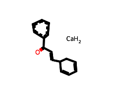 O=C(C=CC1C=CC=CC1)c1ccccc1.[CaH2]